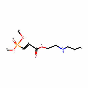 CCCNCCOC(=O)C=CP(=O)(OC)OC